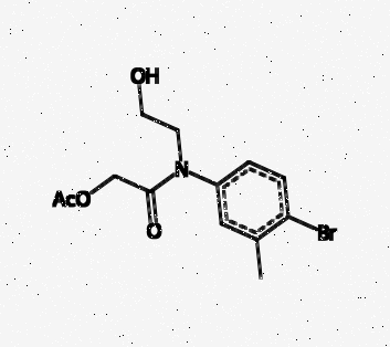 CC(=O)OCC(=O)N(CCO)c1ccc(Br)c(C)c1